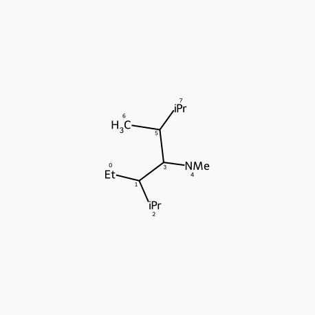 CCC(C(C)C)C(NC)C(C)C(C)C